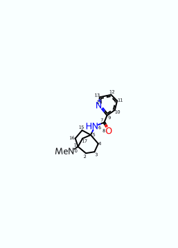 CNC12CCCC(NC(=O)c3ccccn3)(CC1)C2